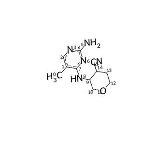 Cc1cnc(N)nc1NC1COCCC1C#N